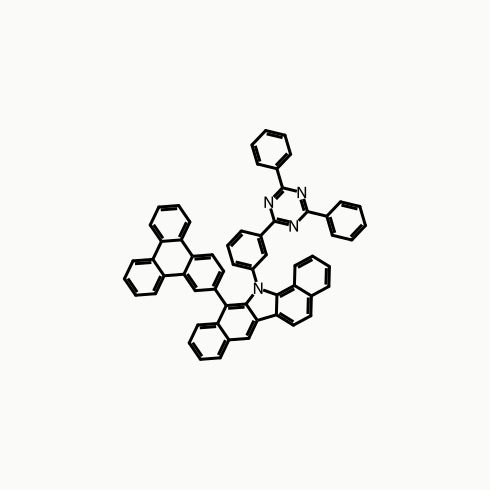 c1ccc(-c2nc(-c3ccccc3)nc(-c3cccc(-n4c5c(-c6ccc7c8ccccc8c8ccccc8c7c6)c6ccccc6cc5c5ccc6ccccc6c54)c3)n2)cc1